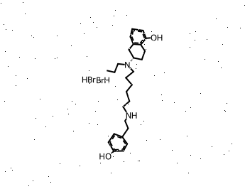 Br.Br.CCCN(CCCCCCNCCc1ccc(O)cc1)[C@H]1CCc2c(O)cccc2C1